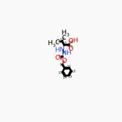 CC(C)C(NNC(=O)OCc1ccccc1)C(=O)O